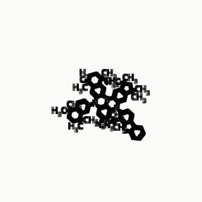 Cc1cc2c3c(c1)N(c1ccc4c(sc5ccccc54)c1C(C)(C)C)c1cc4c(cc1B3c1cc3c(cc1N2c1ccc2c(c1)C(C)(C)CCC2(C)C)C(C)(C)CCC3(C)C)C(C)(C)CC4(C)C